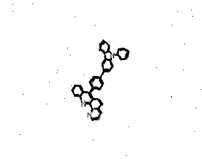 c1ccc(-n2c3ccccc3c3cc(-c4ccc(-c5c6ccccc6nc6c5ccc5cccnc56)cc4)ccc32)cc1